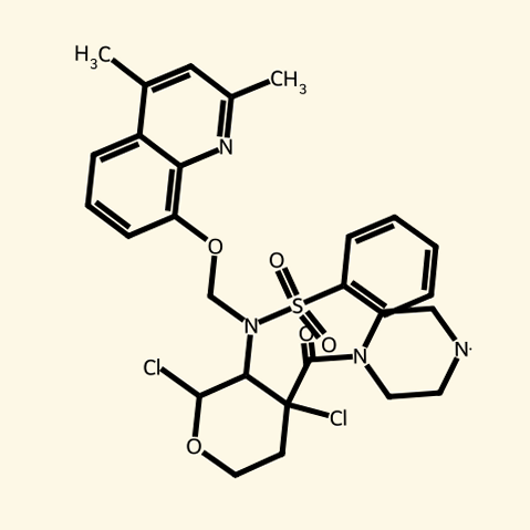 Cc1cc(C)c2cccc(OCN(C3C(Cl)OCCC3(Cl)C(=O)N3CC[N]CC3)S(=O)(=O)c3ccccc3)c2n1